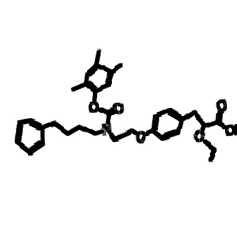 CCOC(Cc1ccc(OCCN(CCCCc2ccccc2)C(=O)Oc2cc(C)c(C)cc2C)cc1)C(=O)O